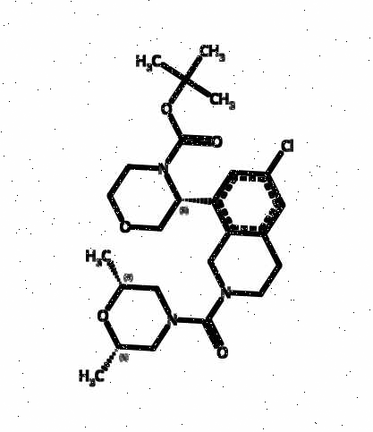 C[C@@H]1CN(C(=O)N2CCc3cc(Cl)cc([C@@H]4COCCN4C(=O)OC(C)(C)C)c3C2)C[C@H](C)O1